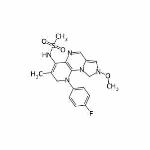 CON1C=C2C=NC3=C(N2C1)N(c1ccc(F)cc1)CC(C)=C3NS(C)(=O)=O